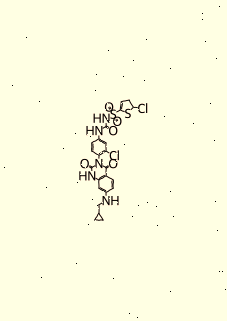 O=C(Nc1ccc(-n2c(=O)[nH]c3cc(NCC4CC4)ccc3c2=O)c(Cl)c1)NS(=O)(=O)C1=CCC(Cl)S1